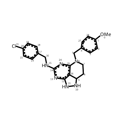 COc1ccc(CN2CCC3NNc4nc(NCc5ccc(Cl)cc5)nc2c43)cc1